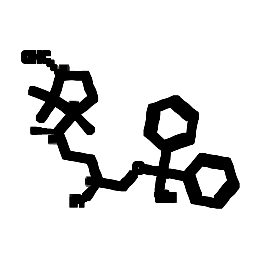 CC(C)[C@@H](CC[C@H](C)[C@@]1(C)CC[C@@H](C=O)C1(C)C)CO[Si](c1ccccc1)(c1ccccc1)C(C)(C)C